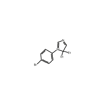 CCC1(CC)C=NC=[N+]1c1ccc(Br)cc1